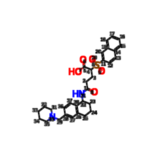 O=C(CCC(C(=O)O)S(=O)(=O)c1ccc2ccccc2c1)NC1CCCc2cc(CN3CCCCC3)ccc21